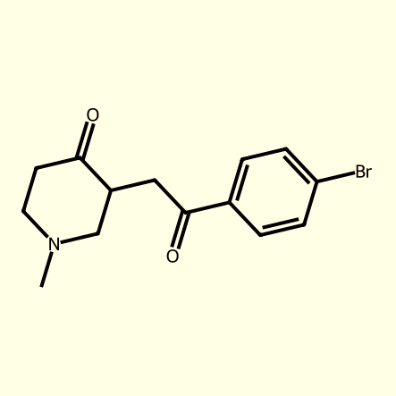 CN1CCC(=O)C(CC(=O)c2ccc(Br)cc2)C1